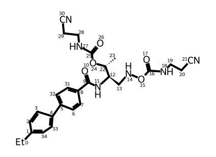 CCc1ccc(-c2ccc(C(=O)N[C@H](CNOC(=O)NCCC#N)[C@@H](C)OC(=O)NCCC#N)cc2)cc1